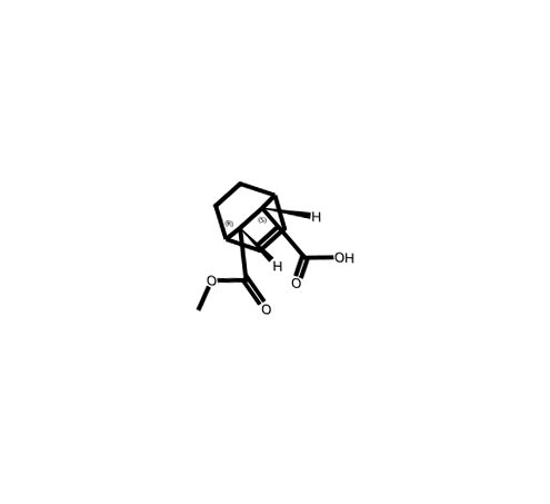 COC(=O)[C@@H]1C2C=CC(CC2)[C@@H]1C(=O)O